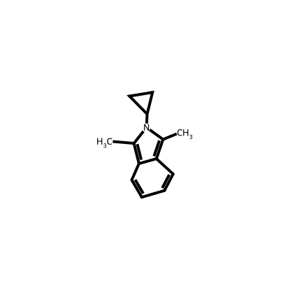 Cc1c2ccccc2c(C)n1C1CC1